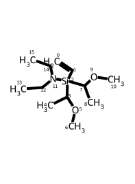 C=C[Si](C(C)OC)(C(C)OC)N(CC)CC